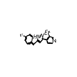 CCc1cnccc1-c1cc(Cc2ccc(F)cc2)[nH]n1